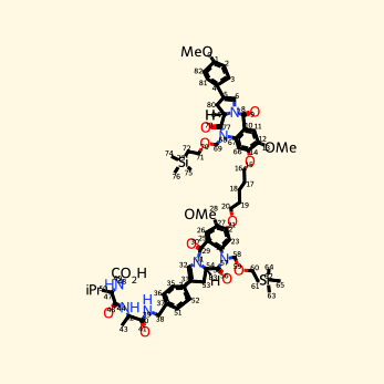 COc1ccc(C2=CN3C(=O)c4cc(OC)c(OCCCCCOc5cc6c(cc5OC)C(=O)N5C=C(c7ccc(CNC(=O)C(C)NC(=O)C(NC(=O)O)C(C)C)cc7)C[C@H]5C(=O)N6COCC[Si](C)(C)C)cc4N(COCC[Si](C)(C)C)C(=O)[C@@H]3C2)cc1